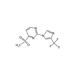 CS(=O)(=O)c1ccnc(-n2cnc(C(F)(F)F)c2)n1